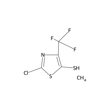 C.FC(F)(F)c1nc(Cl)sc1S